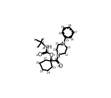 CC(C)(C)NC(=O)OC1(C(=O)N2CCN(c3ccccc3)CC2)CCCCC1